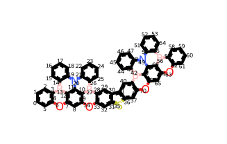 c1ccc2c(c1)Oc1cc3c4c5c1B2c1ccccc1N5c1ccccc1B4c1cc2c(cc1O3)sc1cc3c(cc12)B1c2ccccc2N2c4ccccc4B4c5ccccc5Oc5cc(c1c2c54)O3